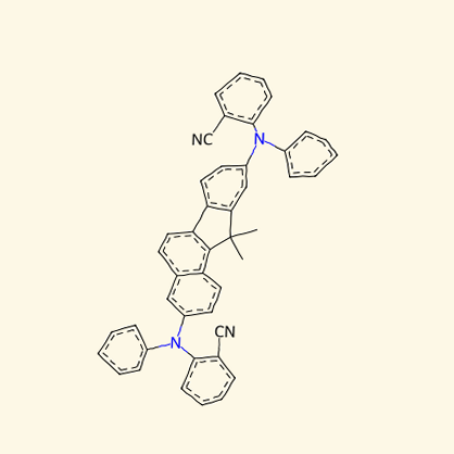 CC1(C)c2cc(N(c3ccccc3)c3ccccc3C#N)ccc2-c2ccc3cc(N(c4ccccc4)c4ccccc4C#N)ccc3c21